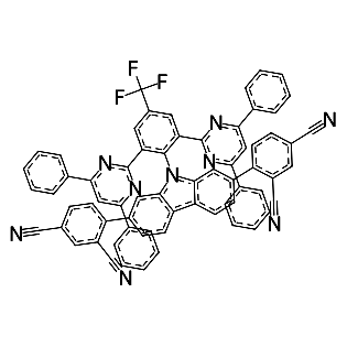 N#Cc1ccc(-c2ccc3c4ccc(-c5ccc(C#N)cc5C#N)cc4n(-c4c(-c5nc(-c6ccccc6)cc(-c6ccccc6)n5)cc(C(F)(F)F)cc4-c4nc(-c5ccccc5)cc(-c5ccccc5)n4)c3c2)c(C#N)c1